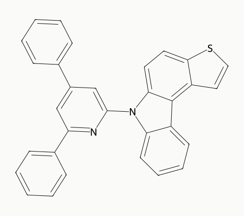 c1ccc(-c2cc(-c3ccccc3)nc(-n3c4ccccc4c4c5ccsc5ccc43)c2)cc1